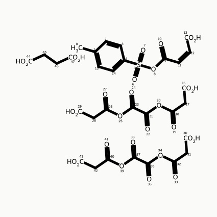 Cc1ccc(S(=O)(=O)OC(=O)/C=C\C(=O)O)cc1.O=C(O)CC(=O)OC(=O)C(=O)OC(=O)CC(=O)O.O=C(O)CC(=O)OC(=O)C(=O)OC(=O)CC(=O)O.O=C(O)CCC(=O)O